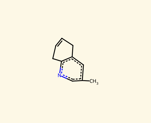 Cc1cnc2c(c1)CC=CC2